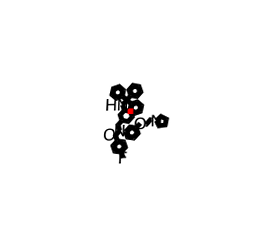 O=C(c1ccc(F)cc1)N(CC1CCCC(NC(c2ccccc2)(c2ccccc2)c2ccccc2)C1)c1cccc(OCCN2CCCC2)c1